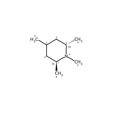 CC1C[C@H](C)N(C)[C@@H](C)C1